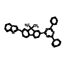 CC1(C)c2cc(-c3cn4ccccc4n3)ccc2-c2ccc(-c3nc(-c4ccccc4)nc(-c4ccccc4)n3)cc21